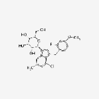 COc1ccc(Cc2cn([C@@H]3O[C@H](CO)[C@@H](O)[C@H](O)[C@H]3O)c3cc(C)cc(Cl)c23)c(F)c1